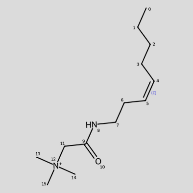 CCCC/C=C\CCNC(=O)C[N+](C)(C)C